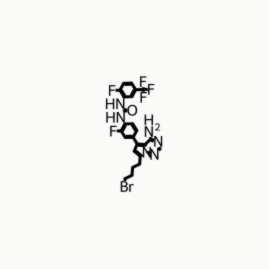 Nc1ncnn2c(CCCCBr)cc(-c3ccc(NC(=O)Nc4cc(C(F)(F)F)ccc4F)c(F)c3)c12